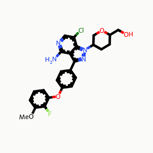 COc1cccc(Oc2ccc(-c3nn(C4CCC(CO)OC4)c4c(Cl)cnc(N)c34)cc2)c1F